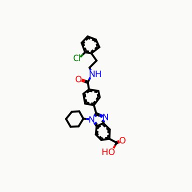 O=C(O)c1ccc2c(c1)nc(-c1ccc(C(=O)NCCc3ccccc3Cl)cc1)n2C1CCCCC1